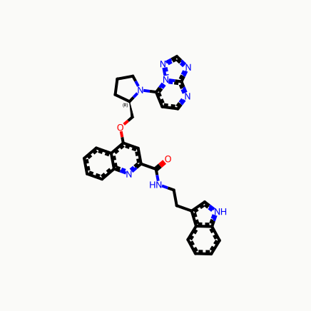 O=C(NCCc1c[nH]c2ccccc12)c1cc(OC[C@H]2CCCN2c2ccnc3ncnn23)c2ccccc2n1